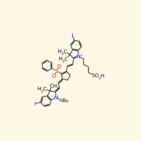 CCCCN1/C(=C/C=C2\CCC(/C=C/C3=[N+](CCCCS(=O)(=O)O)c4ccc(I)cc4C3(C)C)=C2S(=O)(=O)c2ccccc2)C(C)(C)c2cc(I)ccc21